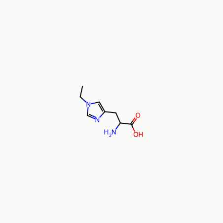 CCn1cnc(CC(N)C(=O)O)c1